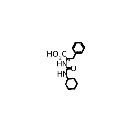 O=C(NC1CCCCC1)N[C@@H](Cc1ccccc1)C(=O)O